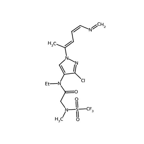 C=N/C=C\C=C(/C)n1cc(N(CC)C(=O)CN(C)S(=O)(=O)C(F)(F)F)c(Cl)n1